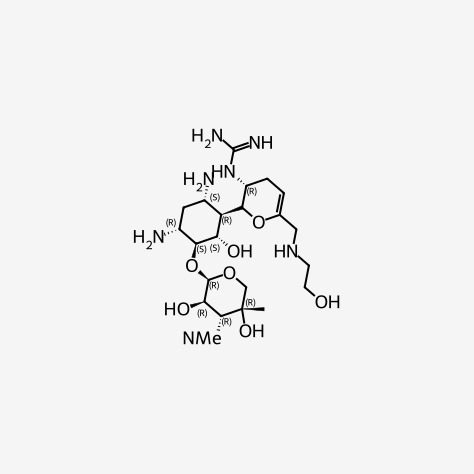 CN[C@@H]1[C@@H](O)[C@@H](O[C@@H]2[C@@H](O)[C@H](C3OC(CNCCO)=CC[C@H]3NC(=N)N)[C@@H](N)C[C@H]2N)OC[C@]1(C)O